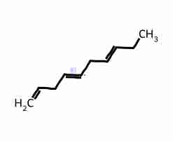 C=CC/C=[C]/CC=CCC